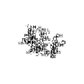 CC[C@H](C)[C@H](NC(=O)[C@H](CCCNC(=N)N)NC(=O)[C@@H](N)CC(C)C)C(=O)N[C@H](C(=O)N[C@@H](CCC(N)=O)C(=O)N[C@@H](CS)C(=O)N[C@@H](CCCNC(=N)N)C(=O)N[C@@H](CO)C(=O)N[C@H](C(=O)N[C@@H](CCC(=O)O)C(=O)NCC(=O)N[C@@H](CO)C(=O)N[C@@H](CS)C(=O)NCC(=O)N[C@@H](Cc1ccccc1)C(=O)N[C@@H](Cc1ccc(O)cc1)C(=O)O)C(C)C)C(C)C